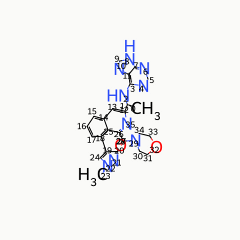 C[C@H](Nc1ncnc2[nH]cnc12)c1cc2cccc(-c3cnn(C)c3)c2c(C(=O)N2CCOCC2)n1